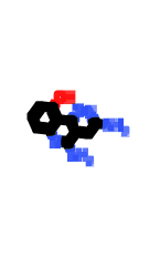 Nc1cc2c(N)nc3cccc(O)c3c2nn1